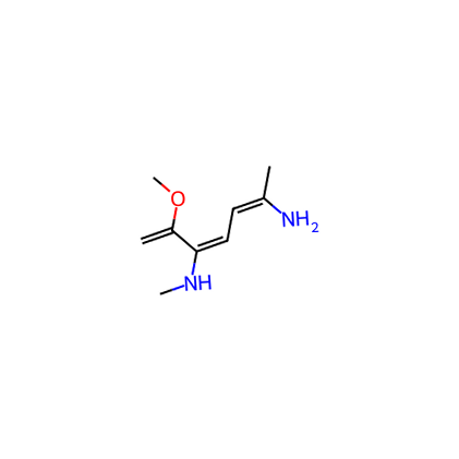 C=C(OC)/C(=C\C=C(\C)N)NC